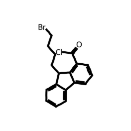 O=C(Cl)c1cccc2c1C(CCCCBr)c1ccccc1-2